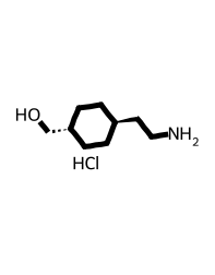 Cl.NCC[C@H]1CC[C@H](CO)CC1